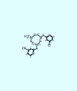 CN1CCN(Cc2cc(Cl)ccn2)CCN(Cc2cc(Cl)ccn2)CC1